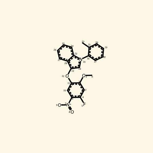 COc1cc(F)c([N+](=O)[O-])cc1Oc1cn(-c2ccccc2C)c2ccccc12